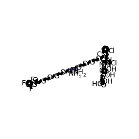 N/C(=C\N(N)CCOCCOCCOCCOCCC(=O)Oc1c(F)cc(F)cc1F)COCCOCCOCCOCCN(Cc1c(Cl)cccc1Cl)c1nc(Cl)nc2c1cnn2[C@@H]1O[C@H](COCP(=O)(O)O)[C@@H](O)[C@H]1O